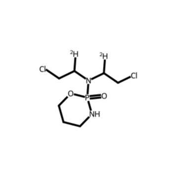 [2H]C(CCl)N(C([2H])CCl)P1(=O)NCCCO1